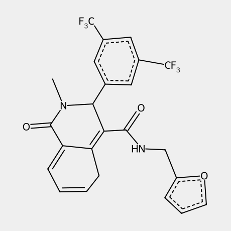 CN1C(=O)C2=CC=CCC2=C(C(=O)NCc2ccco2)C1c1cc(C(F)(F)F)cc(C(F)(F)F)c1